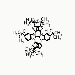 CC(C)(C)c1ccc2c(c1)N(c1ccc(C(C)(C)C)s1)C(C1N(c3ccc(C(C)(C)C)s3)c3ccc(C(C)(C)C)cc3N1c1ccc(C(C)(C)C)s1)N2c1ccc(C(C)(C)C)s1